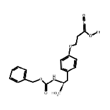 CCOC(=C=O)CCOc1ccc(C[C@H](NC(=O)OCc2ccccc2)C(=O)O)cc1